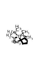 CCCC[C]1([Ti]([N](C)C)([N](C)C)[N](C)C)C=CC=C1